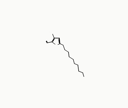 CCCCCCCCCCc1cc(Br)c(C=O)s1